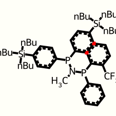 CCCC[Si](CCCC)(CCCC)c1ccc(P(c2ccc([Si](CCCC)(CCCC)CCCC)cc2)N(C)P(c2ccccc2)c2ccccc2C(F)(F)F)cc1